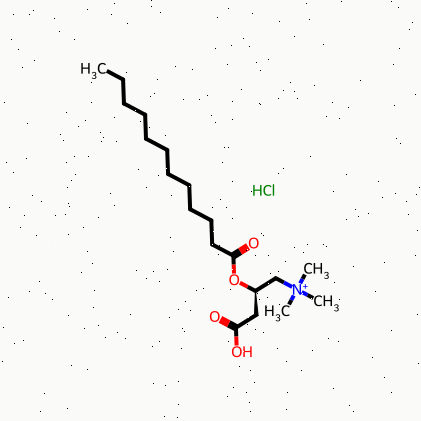 CCCCCCCCCCCC(=O)O[C@H](CC(=O)O)C[N+](C)(C)C.Cl